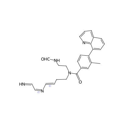 Cc1cc(C(=O)N(CC/C=C/N=C\C=N)CCNC=O)ccc1-c1cccc2cccnc12